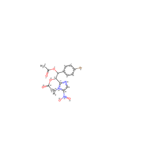 CC(=O)OC(c1ccc(Br)cc1)C(OC(C)=O)c1ncc([N+](=O)[O-])n1C